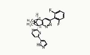 CC1(C)[C@H]2CC[C@]1(c1nccc(-c3ccn[nH]3)n1)c1nnc(-c3c(F)cccc3F)cc12